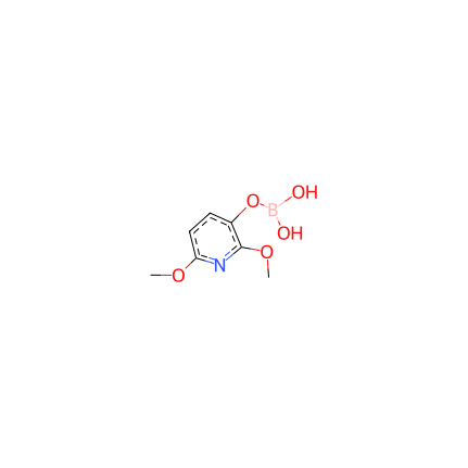 COc1ccc(OB(O)O)c(OC)n1